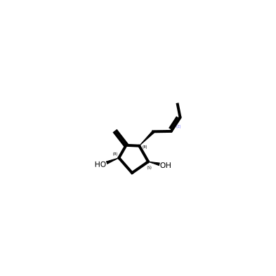 C=C1[C@H](O)C[C@H](O)[C@@H]1C/C=C\C